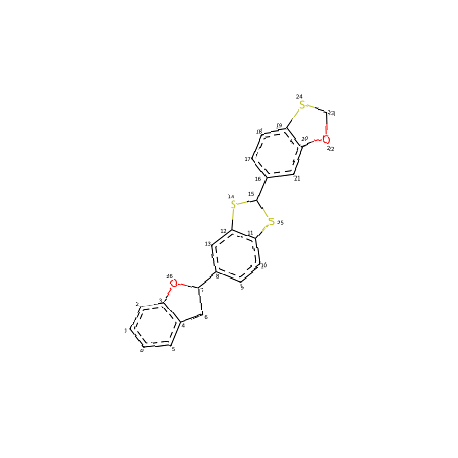 c1ccc2c(c1)CC(c1ccc3c(c1)SC(c1ccc4c(c1)OCS4)S3)O2